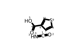 N=C=O.O=C(O)c1ccsc1